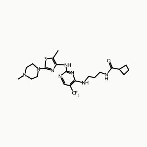 Cc1sc(N2CCN(C)CC2)nc1Nc1ncc(C(F)(F)F)c(NCCCNC(=O)C2CCC2)n1